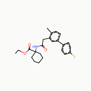 CCOC(=O)C1(NC(=O)Cc2cc(-c3ccc(F)cc3)ccc2C)CCCCC1